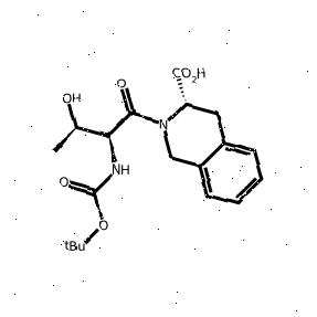 C[C@@H](O)[C@H](NC(=O)OC(C)(C)C)C(=O)N1Cc2ccccc2C[C@H]1C(=O)O